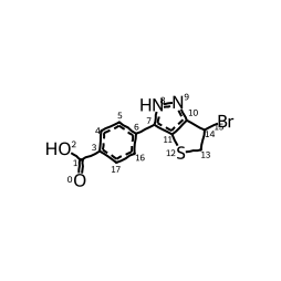 O=C(O)c1ccc(-c2[nH]nc3c2SCC3Br)cc1